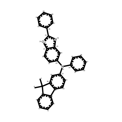 CC1(C)c2ccccc2-c2ccc(N(c3ccccc3)c3ccc4oc(-c5ccccc5)nc4c3)cc21